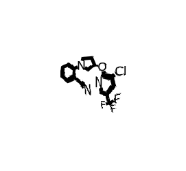 N#Cc1ccccc1N1CC[C@@H](Oc2ncc(C(F)(F)F)cc2Cl)C1